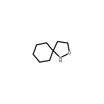 C1CCC2(CC1)CCON2